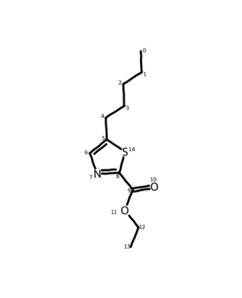 CCCCCc1cnc(C(=O)OCC)s1